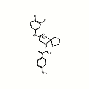 C=C(C(=O)N(CC(=O)Nc1ccc(F)c(F)c1)C1(N)CCCC1)c1ccc(N)cc1